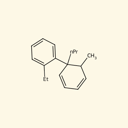 CCCC1(c2ccccc2CC)C=CC=CC1C